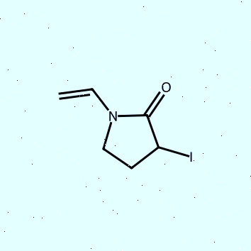 C=CN1CCC(I)C1=O